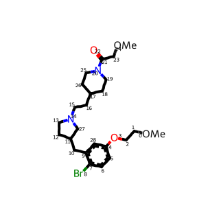 COCCOc1ccc(Br)c(CC2CCN(CCC3CCN(C(=O)COC)CC3)C2)c1